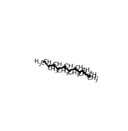 [CH2]C=C(C)CCC=C(C)CCC=C(C)CCC=C(C)CCC=C(C)CCC=C(C)CCC=C(C)CCC=C(C)CC(C)C=CCCC=C(C)C